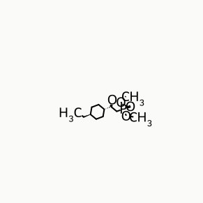 CC[C@H]1CC[C@H](C(=O)CP(=O)(OC)OC)CC1